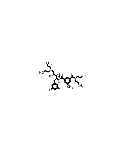 CCCN(CCO)C[C@@H](O)[C@@H](O)[C@H](Cc1cc(F)cc(F)c1)NC(=O)c1cc(C)cc(C(=O)N(CCC)CCC)c1